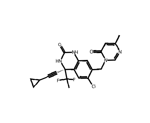 Cc1cc(=O)n(Cc2cc3c(cc2Cl)[C@@](C#CC2CC2)(C(C)(F)F)NC(=O)N3)cn1